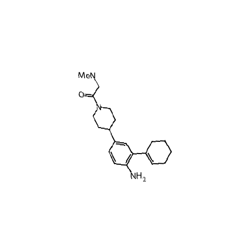 CNCC(=O)N1CCC(c2ccc(N)c(C3=CCCCC3)c2)CC1